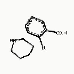 C1CCNCC1.CCc1ccccc1C(=O)O